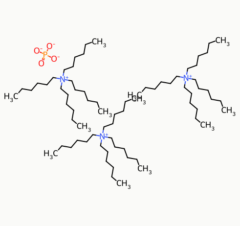 CCCCCC[N+](CCCCCC)(CCCCCC)CCCCCC.CCCCCC[N+](CCCCCC)(CCCCCC)CCCCCC.CCCCCC[N+](CCCCCC)(CCCCCC)CCCCCC.O=P([O-])([O-])[O-]